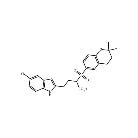 CC1(C)CCc2cc(S(=O)(=O)C(CCc3cc4cc(Cl)ccc4[nH]3)C(=O)O)ccc2O1